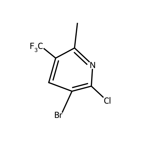 Cc1nc(Cl)c(Br)cc1C(F)(F)F